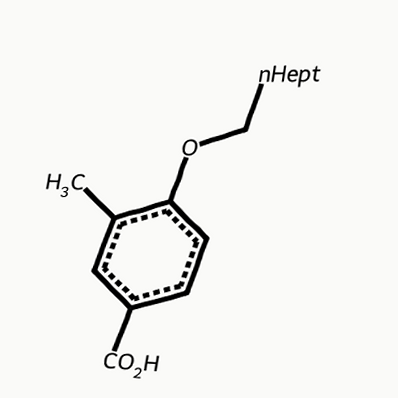 CCCCCCCCOc1ccc(C(=O)O)cc1C